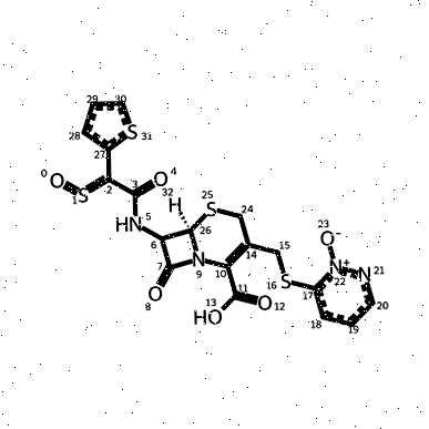 O=S=C(C(=O)NC1C(=O)N2C(C(=O)O)=C(CSc3cccn[n+]3[O-])CS[C@H]12)c1cccs1